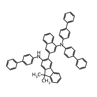 CC1(C)c2ccccc2-c2cc(-c3cc(N(c4ccc(-c5ccccc5)cc4)c4ccc(-c5ccccc5)cc4)c4ccccc4c3)c(Nc3ccc(-c4ccccc4)cc3)cc21